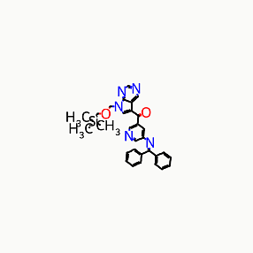 C[Si](C)(C)COCn1cc(C(=O)c2cncc(N=C(c3ccccc3)c3ccccc3)c2)c2cncnc21